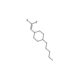 CCCCCC1CCC(C=C(F)F)CC1